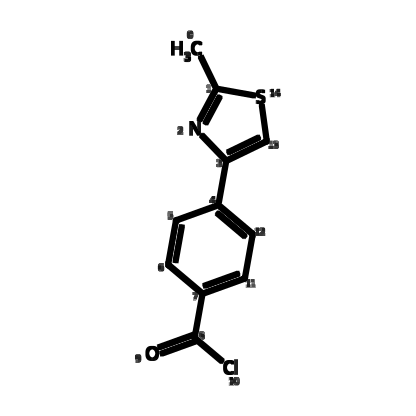 Cc1nc(-c2ccc(C(=O)Cl)cc2)cs1